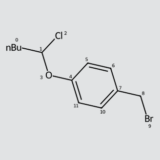 CCCCC(Cl)Oc1ccc(CBr)cc1